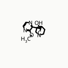 COc1nccnc1C1(O)CN2CCC1CC2